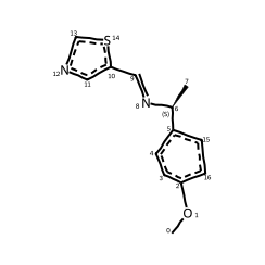 COc1ccc([C@H](C)N=Cc2cncs2)cc1